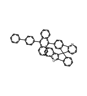 c1ccc(-c2ccc(-c3c4ccccc4c(-c4ccc5c(c4)C4(c6ccccc6-c6oc7ccccc7c64)c4cccnc4-5)c4ccccc34)cc2)cc1